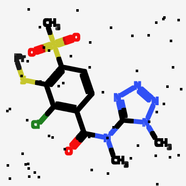 CC(C)Sc1c(S(C)(=O)=O)ccc(C(=O)N(C)c2nnnn2C)c1Cl